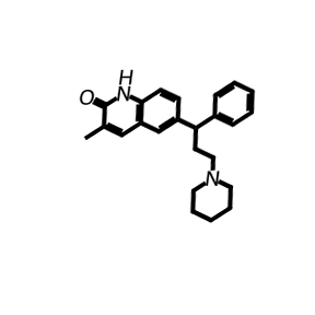 Cc1cc2cc(C(CCN3CCCCC3)c3ccccc3)ccc2[nH]c1=O